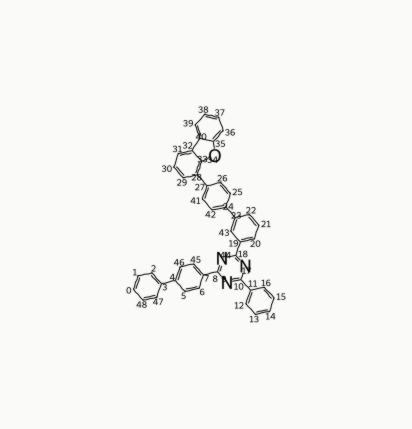 c1ccc(-c2ccc(-c3nc(-c4ccccc4)nc(-c4cccc(-c5ccc(-c6cccc7c6oc6ccccc67)cc5)c4)n3)cc2)cc1